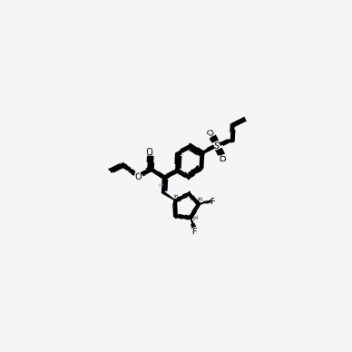 CCCS(=O)(=O)c1ccc(/C(=C\[C@H]2C[C@@H](F)[C@@H](F)C2)C(=O)OCC)cc1